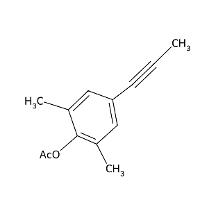 CC#Cc1cc(C)c(OC(C)=O)c(C)c1